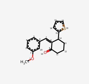 COc1cccc(C=C2C(=O)CCCC2c2cccs2)c1